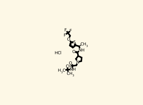 C[C@@H](NC(=O)C1CCN(CC(=O)NC(C)(C)C)C1)c1ccc(OCC(F)(F)F)s1.Cl